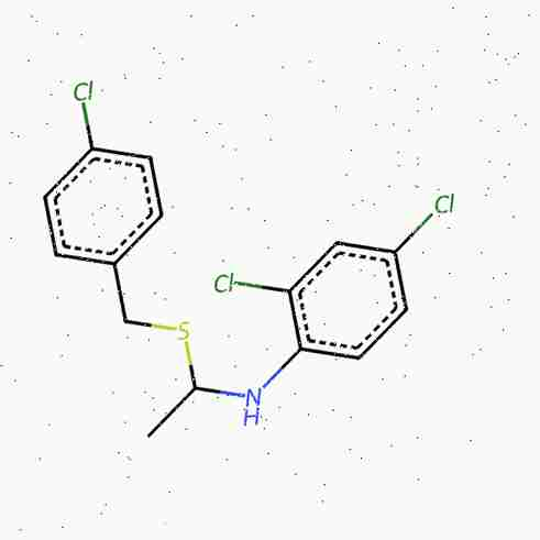 CC(Nc1ccc(Cl)cc1Cl)SCc1ccc(Cl)cc1